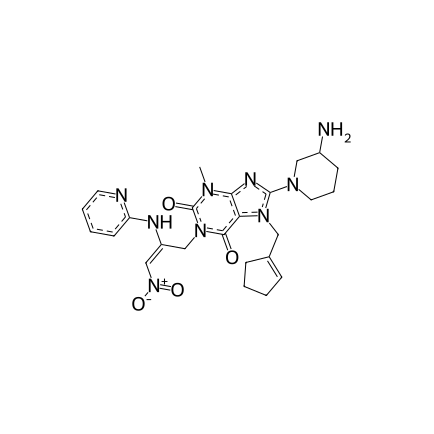 Cn1c(=O)n(CC(=C[N+](=O)[O-])Nc2ccccn2)c(=O)c2c1nc(N1CCCC(N)C1)n2CC1=CCCC1